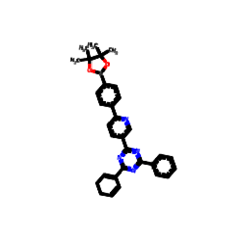 CC1(C)OB(c2ccc(-c3ccc(-c4nc(C5=CCCC=C5)nc(-c5ccccc5)n4)cn3)cc2)OC1(C)C